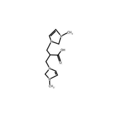 CN1C=CN(CC(CN2C=CN(C)C2)C(=O)O)C1